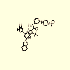 CC(=O)N1CCN(c2cccc(NC(=O)c3nn4c(-c5cn[nH]c5)cc(N5Cc6ccccc6C5)nc4c3C(C)(C)C)c2)CC1